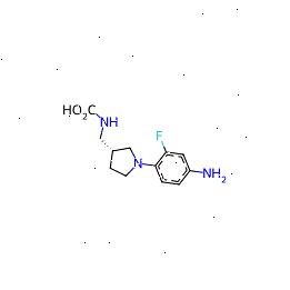 Nc1ccc(N2CC[C@H](CNC(=O)O)C2)c(F)c1